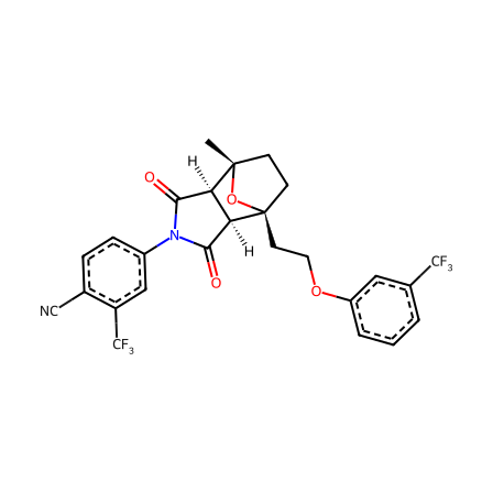 C[C@@]12CC[C@@](CCOc3cccc(C(F)(F)F)c3)(O1)[C@H]1C(=O)N(c3ccc(C#N)c(C(F)(F)F)c3)C(=O)[C@H]12